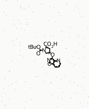 CC(C)(C)OC(=O)N1C[C@H](Oc2noc3cccnc23)C[C@H]1C(=O)O